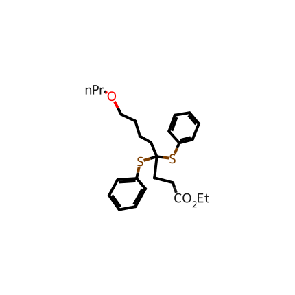 CCCOCCCCC(CCC(=O)OCC)(Sc1ccccc1)Sc1ccccc1